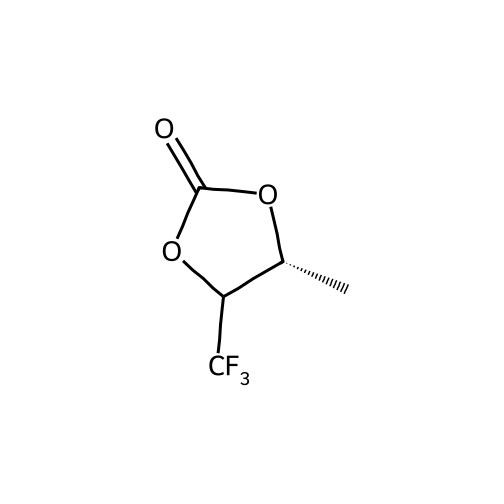 C[C@H]1OC(=O)OC1C(F)(F)F